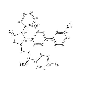 O=C1C[C@H](CC[C@H](O)c2ccc(F)cc2)[C@@H](c2ccc(-c3cccc(O)c3)cc2O)N1c1ccccc1